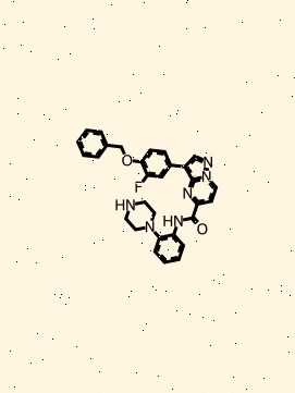 O=C(Nc1ccccc1N1CCNCC1)c1ccn2ncc(-c3ccc(OCc4ccccc4)c(F)c3)c2n1